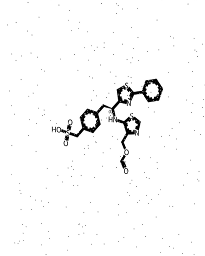 O=COCc1ncsc1N[C@@H](Cc1ccc(CS(=O)(=O)O)cc1)c1csc(-c2ccccc2)n1